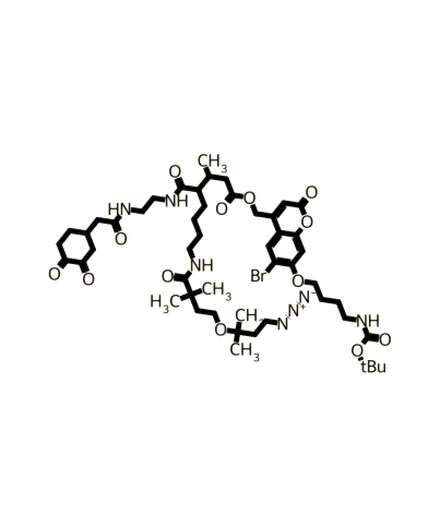 CC(CC(=O)OCc1cc(=O)oc2cc(OCCCCNC(=O)OC(C)(C)C)c(Br)cc12)C(CCCCNC(=O)C(C)(C)CCOC(C)(C)CCN=[N+]=[N-])C(=O)NCCNC(=O)CC1CCC(=O)C(=O)C1